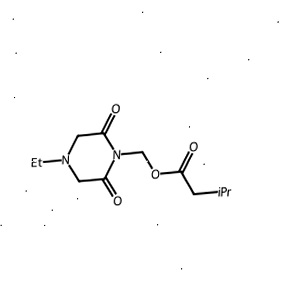 CCN1CC(=O)N(COC(=O)CC(C)C)C(=O)C1